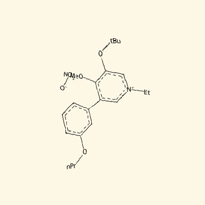 CCCOc1cccc(-c2c[n+](CC)cc(OC(C)(C)C)c2OC)c1.O=[N+]([O-])[O-]